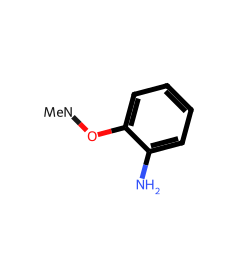 CNOc1ccccc1N